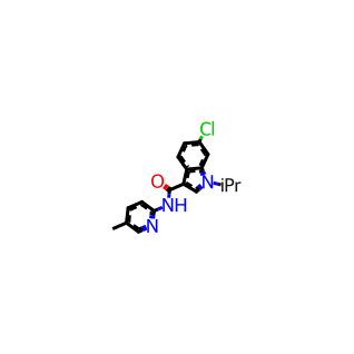 Cc1ccc(NC(=O)c2cn(C(C)C)c3cc(Cl)ccc23)nc1